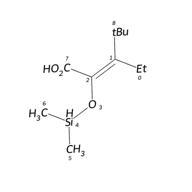 CCC(=C(O[SiH](C)C)C(=O)O)C(C)(C)C